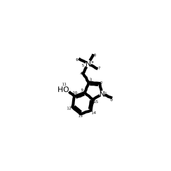 Cn1cc(C[N+](C)(C)C)c2c(O)cccc21